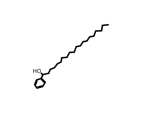 CCCCCCCCCCCCCCCCCCCC(O)c1ccccc1